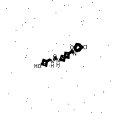 O=C(NCC1CC(O)C1)NC1CC2(C1)CC(c1nc3cc(Cl)ccc3o1)C2